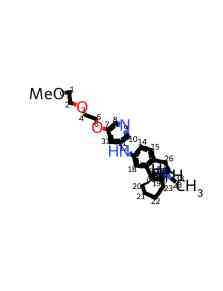 COCCOCCOc1cncc(Nc2ccc3c(c2)[C@@]24CCCC[C@H]2[C@@H](C3)N(C)CC4)c1